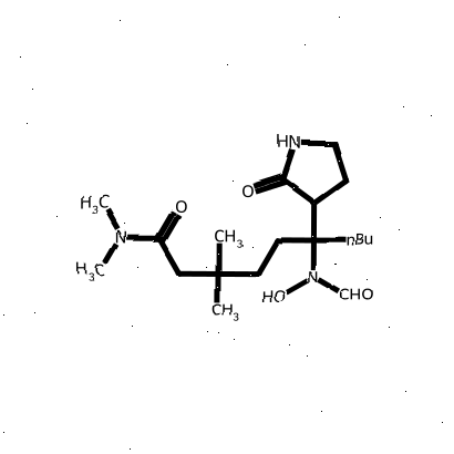 CCCCC(CCC(C)(C)CC(=O)N(C)C)(C1CCNC1=O)N(O)C=O